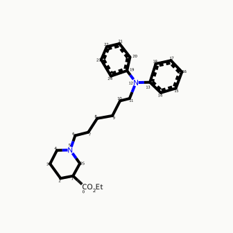 CCOC(=O)C1CCCN(CCCCCCN(c2ccccc2)c2ccccc2)C1